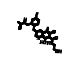 CC(=O)NCc1cc(F)ccc1Cc1cnc2c(O)c(C(=O)NCCO)c(=O)n(C)c2c1